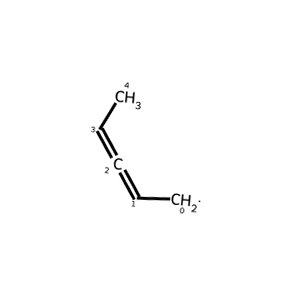 [CH2]C=C=CC